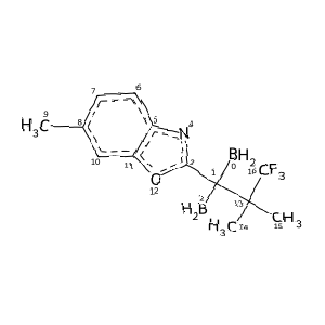 BC(B)(c1nc2ccc(C)cc2o1)C(C)(C)C(F)(F)F